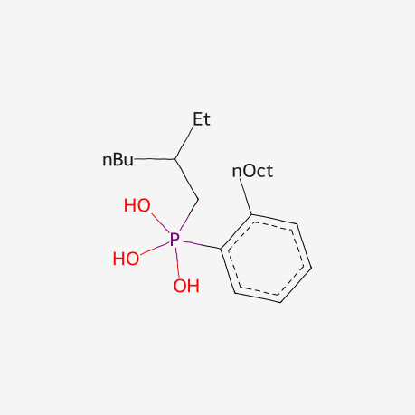 CCCCCCCCc1ccccc1P(O)(O)(O)CC(CC)CCCC